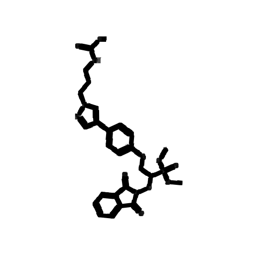 COP(=O)(OC)C(COc1ccc(-c2cnn(CCCNC(=O)O)c2)cc1)ON1C(=O)c2ccccc2C1=O